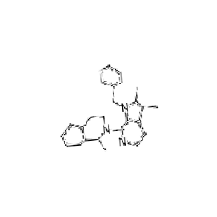 Cc1c(C)n(Cc2ccccc2)c2c(N3CCc4ccccc4C3C)nccc12